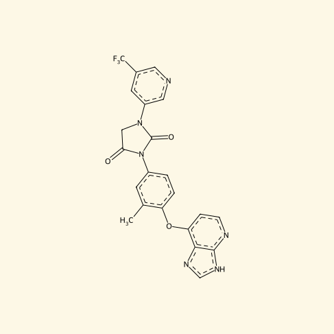 Cc1cc(N2C(=O)CN(c3cncc(C(F)(F)F)c3)C2=O)ccc1Oc1ccnc2[nH]cnc12